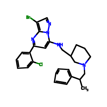 CC(CN1CCCC(CNc2cc(-c3ccccc3Cl)nc3c(Br)cnn23)C1)c1ccccc1